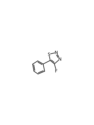 Fc1nnsc1-c1ccccc1